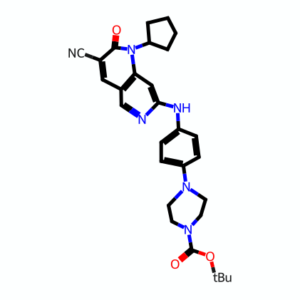 CC(C)(C)OC(=O)N1CCN(c2ccc(Nc3cc4c(cn3)cc(C#N)c(=O)n4C3CCCC3)cc2)CC1